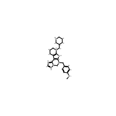 COc1ccc(CN2Cn3ncnc3-c3c2sc2c3CCCN2CC2CCCOC2)cc1